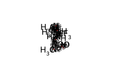 CN(Cc1ccc(C2CCC(=O)NC2=O)cc1)C1CCN(c2ccc(Nc3ncc(C(F)(F)F)c(NCc4cccnc4N(C)S(C)(=O)=O)n3)cc2)CC1